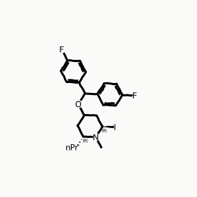 CCC[C@@H]1CC(OC(c2ccc(F)cc2)c2ccc(F)cc2)C[C@@H](I)N1C